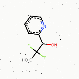 O=C(O)C(F)(F)C(O)c1ccccn1